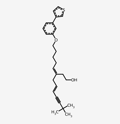 CC(C)(C)C#CC=CCC(=CCCCCOc1cccc(-c2ccsc2)c1)CCO